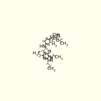 CCCc1nn(CC)c2c(=O)n(CCNc3ccc(SC(C)(C)C(=O)OCC)cc3)c(CC)nc12